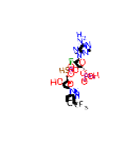 Nc1ncnc2c1ncn2[C@@H]1O[C@H](CO[PH](=O)O)[C@@H](OP(=O)(S)OC[C@H]2O[C@@H](n3nnc4c(C(F)(F)F)cccc43)C[C@@H]2O)[C@H]1F